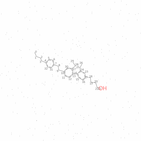 CCCCc1ccc(CCc2ccc(-c3ccc(CCCCO)cc3CC)c(CC)c2)cc1